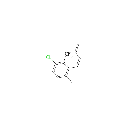 C=C/C=C\c1c(C)ccc(Cl)c1C(F)(F)F